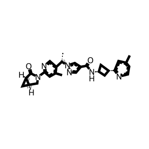 Cc1ccnc([C@H]2C[C@@H](NC(=O)c3cnn([C@@H](C)c4cnc(N5C[C@H]6C[C@H]6C5=O)cc4C)c3)C2)c1